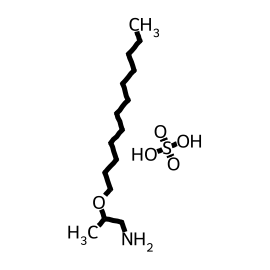 CCCCCCCCCCCCOC(C)CN.O=S(=O)(O)O